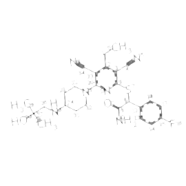 CCc1c(C#N)c(SC(C(N)=O)c2ccc(F)cc2)nc(N2CCC(NCC(C)(C)O)CC2)c1C#N